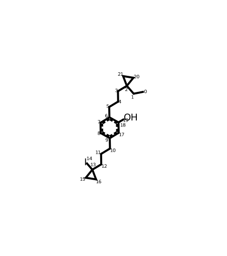 CCC1(CCCc2ccc(CCCC3(I)CC3)cc2O)CC1